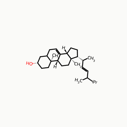 CC(C)C(C)C=CC(C)[C@H]1CC[C@H]2C3=CCC4C[C@@H](O)CC[C@]4(C)[C@H]3CC[C@]12C